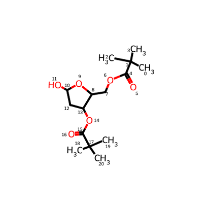 CC(C)(C)C(=O)OCC1OC(O)CC1OC(=O)C(C)(C)C